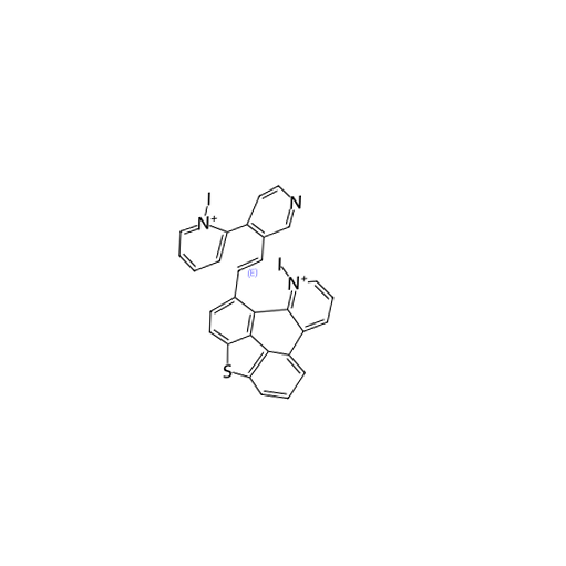 I[n+]1ccccc1-c1ccncc1/C=C/c1ccc2sc3cccc4c5ccc[n+](I)c5c1c2c34